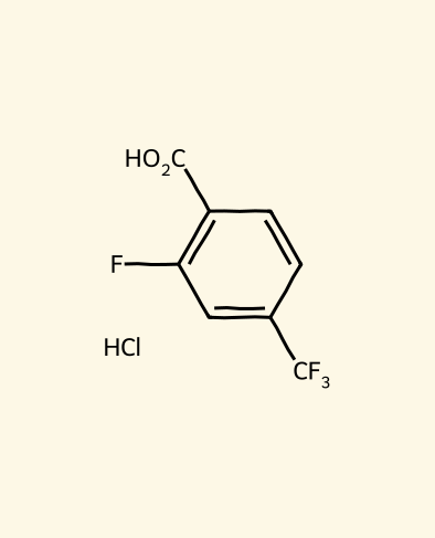 Cl.O=C(O)c1ccc(C(F)(F)F)cc1F